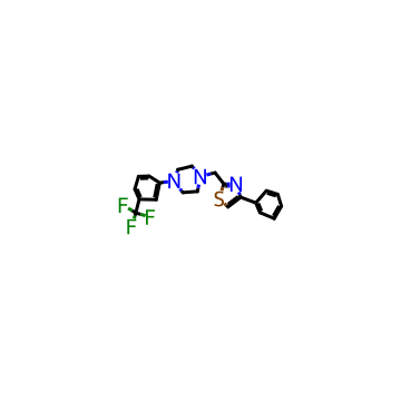 FC(F)(F)c1cccc(N2CCN(Cc3nc(-c4ccccc4)cs3)CC2)c1